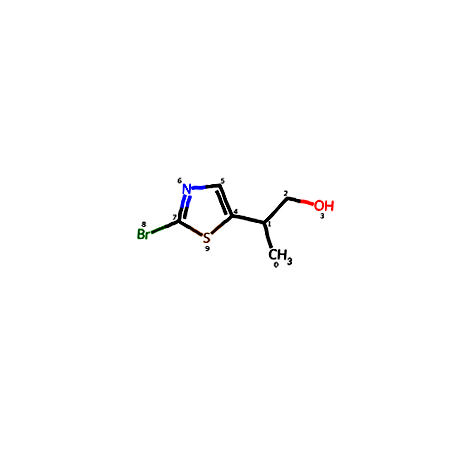 CC(CO)c1cnc(Br)s1